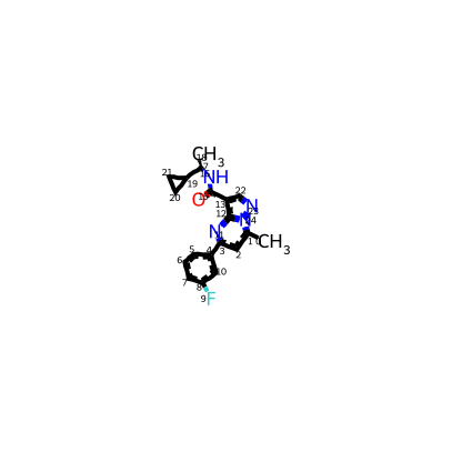 Cc1cc(-c2cccc(F)c2)nc2c(C(=O)N[C@H](C)C3CC3)cnn12